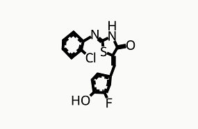 O=C1NC(=Nc2ccccc2Cl)SC1=Cc1ccc(O)c(F)c1